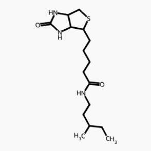 CCC(C)CCNC(=O)CCCCC1SCC2NC(=O)NC21